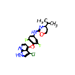 CC(C)C1CCOC(Nc2cc(F)c(Oc3ccnc4[nH]cc(Cl)c34)c(F)c2)=N1